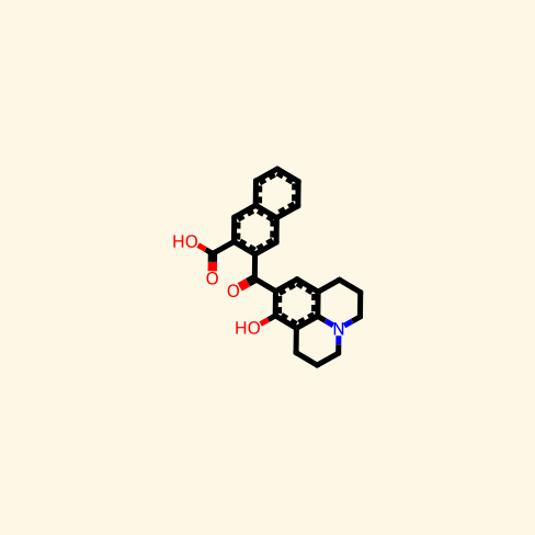 O=C(O)c1cc2ccccc2cc1C(=O)c1cc2c3c(c1O)CCCN3CCC2